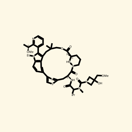 CCn1c(-c2cccnc2[C@H](C)OC)c2c3cc(ccc31)-c1csc(n1)C[C@H](NC(=O)C(C(C)C)N(C)C(=O)N1CC(O)(COC)C1)C(=O)N1CCC[C@H](N1)C(=O)OCC(C)(C)C2